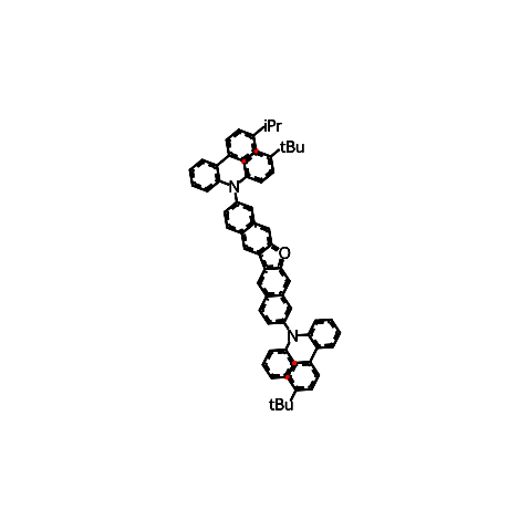 CC(C)c1ccc(-c2ccccc2N(c2ccc(C(C)(C)C)cc2)c2ccc3cc4c(cc3c2)oc2cc3cc(N(c5ccccc5)c5ccccc5-c5ccc(C(C)(C)C)cc5)ccc3cc24)cc1